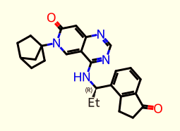 CC[C@@H](Nc1ncnc2cc(=O)n(C34CCC(CC3)C4)cc12)c1cccc2c1CCC2=O